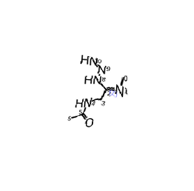 C/N=C(/CNC(C)=O)NN=N